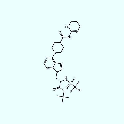 CC(C)(C)OC(=O)[C@H](Cn1cnc2c(N3CCC(C(=O)NC4=NCCCN4)CC3)ncnc21)NS(=O)(=O)C(F)(F)F